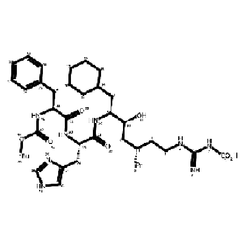 CC(C)[C@@H](CCNC(=N)NC(=O)O)C[C@H](O)[C@H](CC1CCCCC1)NC(=O)[C@H](Cc1c[nH]cn1)NC(=O)[C@H](Cc1ccccc1)NC(=O)OC(C)(C)C